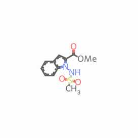 COC(=O)c1cc2ccccc2n1NS(C)(=O)=O